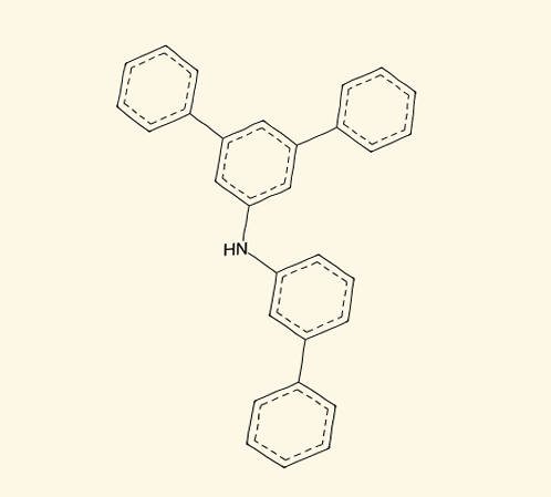 c1ccc(-c2cccc(Nc3cc(-c4ccccc4)cc(-c4ccccc4)c3)c2)cc1